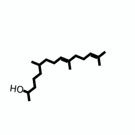 CC(C)=CCC/C(C)=C/CCC(C)CCCC(C)O